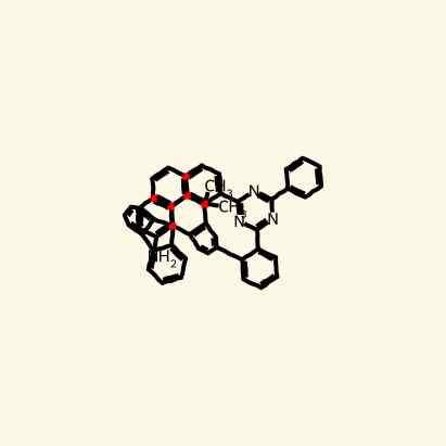 CC1(C)c2ccccc2C2(c3ccccc3-c3ccccc32)c2ccc(-c3ccccc3-c3nc(-c4ccccc4)nc(-c4cccc(-c5cccc(N)c5)c4)n3)cc21